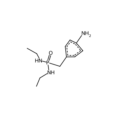 CCNP(=O)(Cc1ccc(N)cc1)NCC